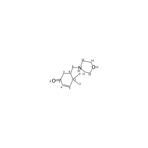 CC1(C)C=CC(=O)CC1CN1CCOCC1